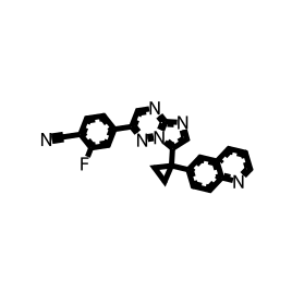 N#Cc1ccc(-c2cnc3ncc(C4(c5ccc6ncccc6c5)CC4)n3n2)cc1F